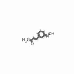 CC(=O)/C=C/C1=CCC/C(=N\O)C1